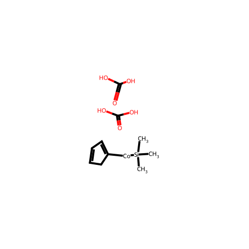 C[Si](C)(C)[Co][C]1=CC=CC1.O=C(O)O.O=C(O)O